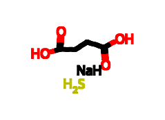 O=C(O)CCC(=O)O.S.[NaH]